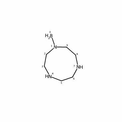 BN1CCNCCNCC1